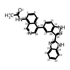 CC(=O)Nc1cccc2c(-c3ccc4[nH]nc(-c5nc6ccccc6[nH]5)c4c3)cncc12